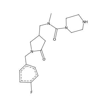 CN(CC1CC(=O)N(Cc2ccc(F)cc2)C1)C(=O)N1CCNCC1